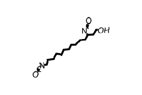 O=C=NCCCCCCCCCCCC(CCO)N=C=O